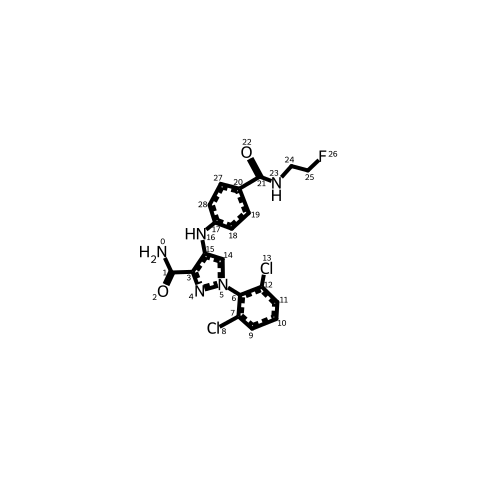 NC(=O)c1nn(-c2c(Cl)cccc2Cl)cc1Nc1ccc(C(=O)NCCF)cc1